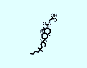 CCCCC(C)(C)CC[C@](C)(CC)[C@]1(C)CC[C@H]2C(C)(C)[C@@H](C(=O)NCC(=O)O)CC[C@]2(C)C1